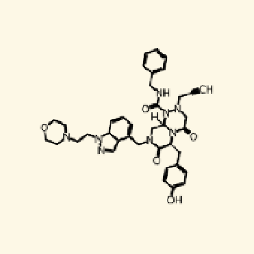 C#CCN1CC(=O)N2[C@@H](Cc3ccc(O)cc3)C(=O)N(CC3=CC=CC4C3C=NN4CCN3CCOCC3)C[C@@H]2N1C(=O)NCc1ccccc1